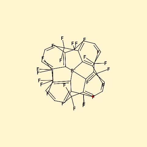 FC(F)(F)c1cccc(C(F)(F)F)c1[B-](c1c(C(F)(F)F)cccc1C(F)(F)F)(c1c(C(F)(F)F)cccc1C(F)(F)F)c1c(C(F)(F)F)cccc1C(F)(F)F